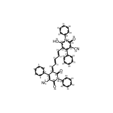 N#CC1=C(c2ccccc2)/C(=C/C=CC=Cc2c(-c3ccccc3)c(C#N)c(=O)n(-c3ccccc3)c2O)C(=O)N(c2ccccc2)C1=O